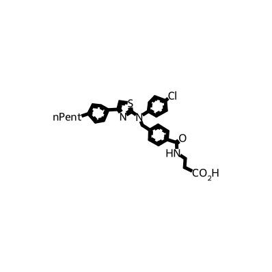 CCCCCc1ccc(-c2csc(N(Cc3ccc(C(=O)NCCC(=O)O)cc3)c3ccc(Cl)cc3)n2)cc1